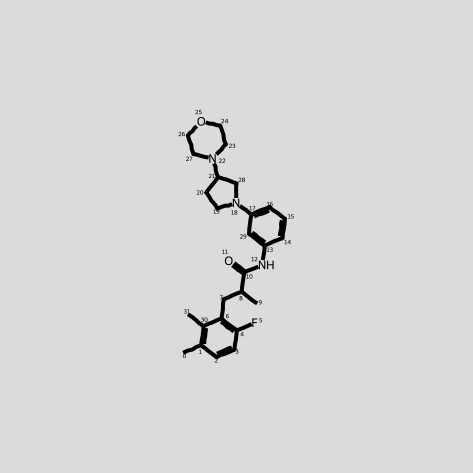 Cc1ccc(F)c(CC(C)C(=O)Nc2cccc(N3CCC(N4CCOCC4)C3)c2)c1C